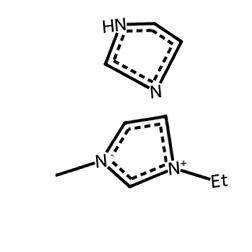 CC[n+]1ccn(C)c1.c1c[nH]cn1